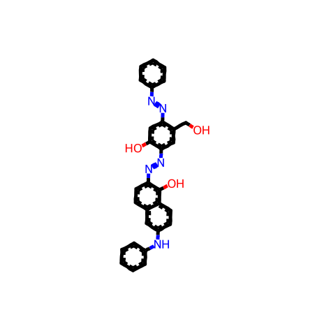 OCc1cc(N=Nc2ccc3cc(Nc4ccccc4)ccc3c2O)c(O)cc1N=Nc1ccccc1